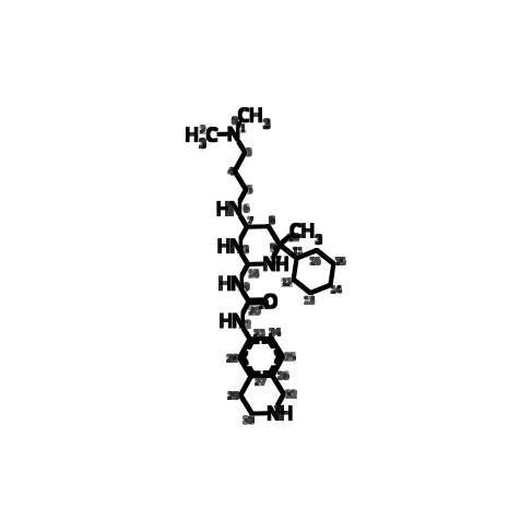 CN(C)CCCNC1CC(C)(C2CCCCC2)NC(NC(=O)Nc2ccc3c(c2)CCNC3)N1